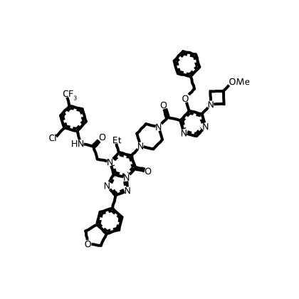 CCc1c(N2CCN(C(=O)c3ncnc(N4CC(OC)C4)c3OCc3ccccc3)CC2)c(=O)n2nc(-c3ccc4c(c3)COC4)nc2n1CC(=O)Nc1ccc(C(F)(F)F)cc1Cl